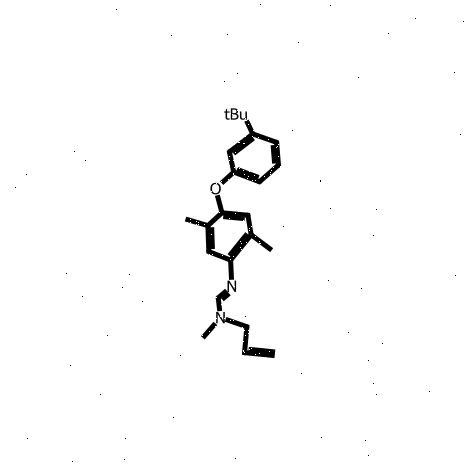 C=CCN(C)/C=N/c1cc(C)c(Oc2cccc(C(C)(C)C)c2)cc1C